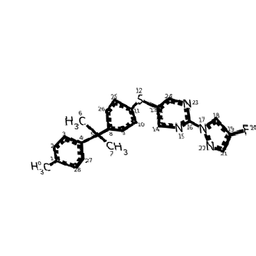 Cc1ccc(C(C)(C)c2ccc(Sc3cnc(-n4cc(F)cn4)nc3)cc2)cc1